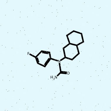 NC(=O)N(c1ccc(F)cc1)C1CCC2CCCCC2C1